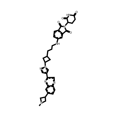 CN1CC(c2ccc3ncc(-c4cnn(C5CC(CCCNc6ccc7c(c6)C(=O)N(C6CCC(=O)NC6=O)C7=O)C5)c4)nc3c2)C1